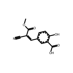 COC(=O)C(C#N)=Cc1ccc(O)c(C(=O)O)c1